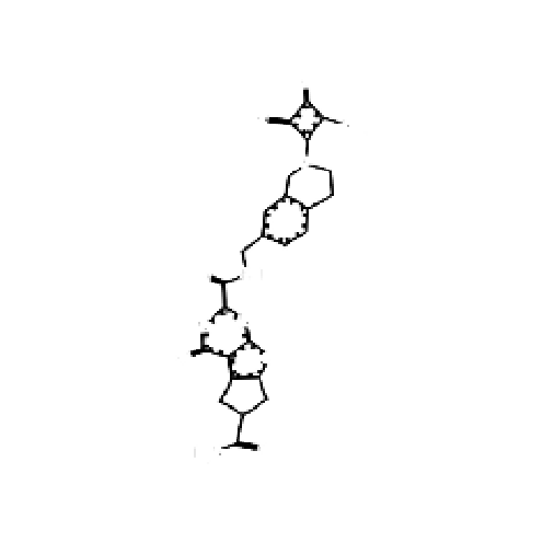 NC(=O)C1Cc2sc3nc(C(=O)NCc4ccc5c(c4)CN(c4c(N)c(=O)c4=O)CC5)[nH]c(=O)c3c2C1